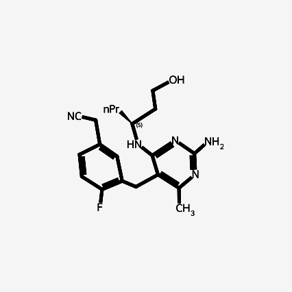 CCC[C@@H](CCO)Nc1nc(N)nc(C)c1Cc1cc(CC#N)ccc1F